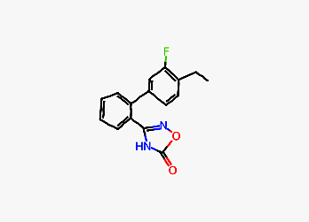 CCc1ccc(-c2ccccc2-c2noc(=O)[nH]2)cc1F